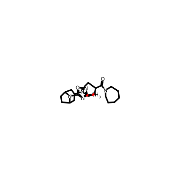 Cc1noc(N2C3CCC2CC(N2CCC(C(=O)N4CCCCCC4)CC2)C3)n1